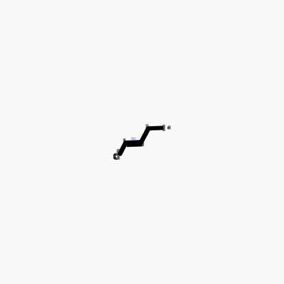 Cl/C=C/CI